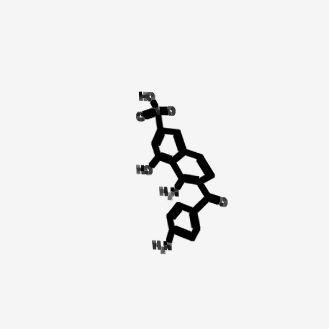 Nc1ccc(C(=O)c2ccc3cc(S(=O)(=O)O)cc(O)c3c2N)cc1